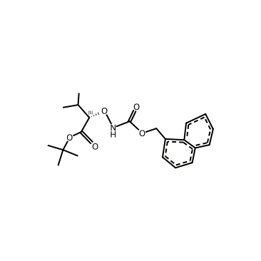 CC(C)[C@H](ONC(=O)OCc1cccc2ccccc12)C(=O)OC(C)(C)C